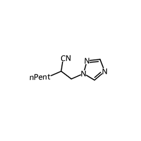 CCCCCC(C#N)Cn1cncn1